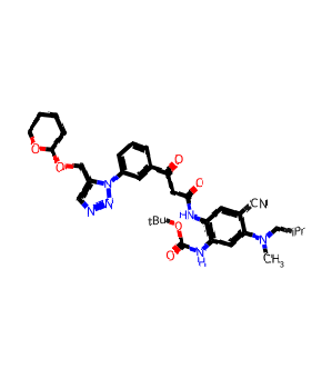 CC(C)CN(C)c1cc(NC(=O)OC(C)(C)C)c(NC(=O)CC(=O)c2cccc(-n3nncc3COC3CCCCO3)c2)cc1C#N